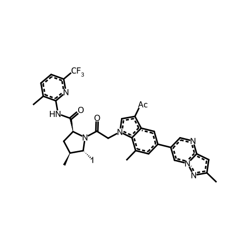 CC(=O)c1cn(CC(=O)N2[C@H](I)[C@@H](C)C[C@H]2C(=O)Nc2nc(C(F)(F)F)ccc2C)c2c(C)cc(-c3cnc4cc(C)nn4c3)cc12